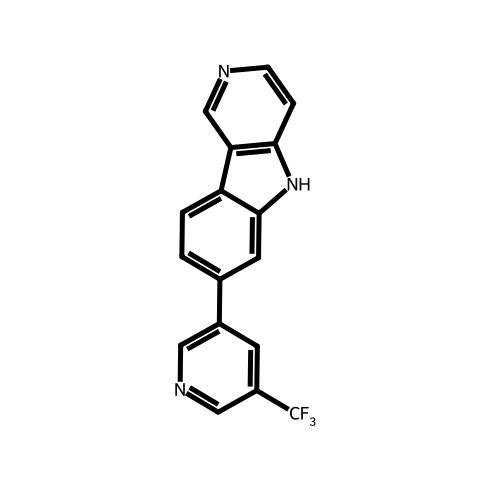 FC(F)(F)c1cncc(-c2ccc3c(c2)[nH]c2ccncc23)c1